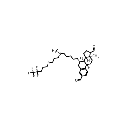 CN(CCCCC[C@@H]1Cc2cc(C=O)ccc2[C@H]2CC[C@]3(C)C(C=O)CC[C@H]3[C@H]12)CCCSCCCC(F)(F)C(F)(F)F